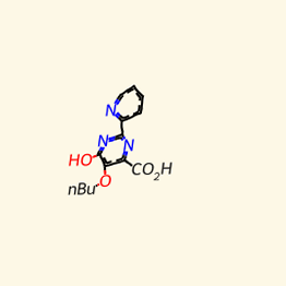 CCCCOc1c(O)nc(-c2ccccn2)nc1C(=O)O